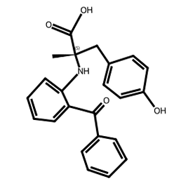 C[C@@](Cc1ccc(O)cc1)(Nc1ccccc1C(=O)c1ccccc1)C(=O)O